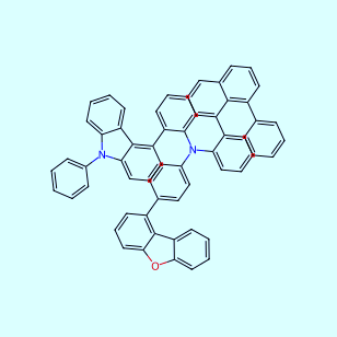 c1ccc(-c2cccc3cccc(-c4ccccc4N(c4ccc(-c5cccc6oc7ccccc7c56)cc4)c4ccccc4-c4cccc5c4c4ccccc4n5-c4ccccc4)c23)cc1